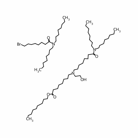 CCCCCCCCCOC(=O)CCCCCCCN(CCO)CCCCCCCC(=O)N(CCCCCCCC)CCCCCCCC.CCCCCCCCN(CCCCCCCC)C(=O)CCCCCCCBr